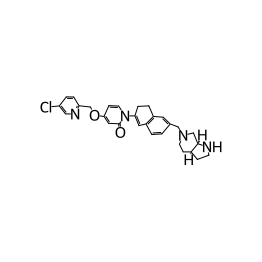 O=c1cc(OCc2ccc(Cl)cn2)ccn1C1=Cc2ccc(CN3CC[C@@H]4CCN[C@H]4C3)cc2CC1